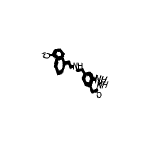 COc1cccc2c1CCCC2CCNCCc1ccc2c(c1)NNC(=O)C2